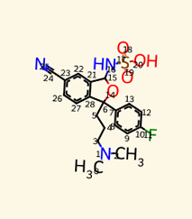 CN(C)CCCC1(c2ccc(F)cc2)OC(NS(=O)(=O)O)c2cc(C#N)ccc21